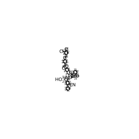 CC(NC(=O)[C@@H]1Cc2cc3c(cc2CN1C(=O)c1ccccc1S(C)(=O)=O)OC(c1ccc(OCc2ccc(Cl)c(Cl)c2)cc1)CO3)(C(=O)O)c1ccc(-c2ccccc2)c(C#N)c1